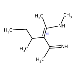 CCC(C)/C(C(C)=N)=C(\C)NC